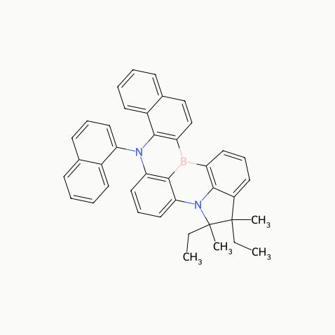 CCC1(C)c2cccc3c2N(c2cccc4c2B3c2ccc3ccccc3c2N4c2cccc3ccccc23)C1(C)CC